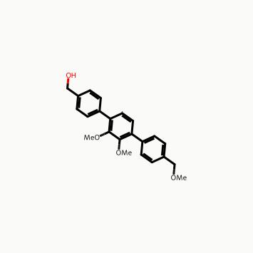 COCc1ccc(-c2c[c]c(-c3ccc(CO)cc3)c(OC)c2OC)cc1